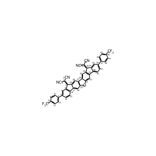 N#CC(C#N)=C1c2cc(-c3ccc(C(F)(F)F)cc3)ccc2-c2cc3oc4cc5c(cc4c3cc21)C(=C(C#N)C#N)c1cc(-c2ccc(C(F)(F)F)cc2)ccc1-5